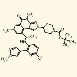 Cc1cc(C(C)Nc2ccc(Cl)nc2-c2cnn(C)c2)c2c(c1)c(=O)n(C)c1nn(C3CCN(C(=O)OC(C)(C)C)CC3)cc21